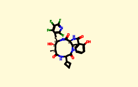 C[C@H]1NC(=O)C(C2CCC2)NC(=O)[C@H](C)[C@H](O)[C@H](Cc2c(F)nc(F)c(F)c2F)NC(=O)[C@H]1NC(=O)c1ccccc1O